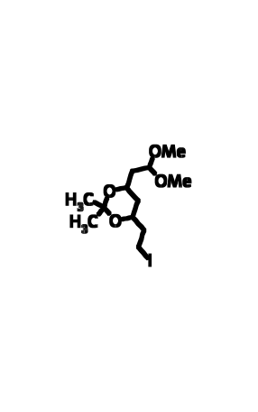 COC(CC1CC(CCI)OC(C)(C)O1)OC